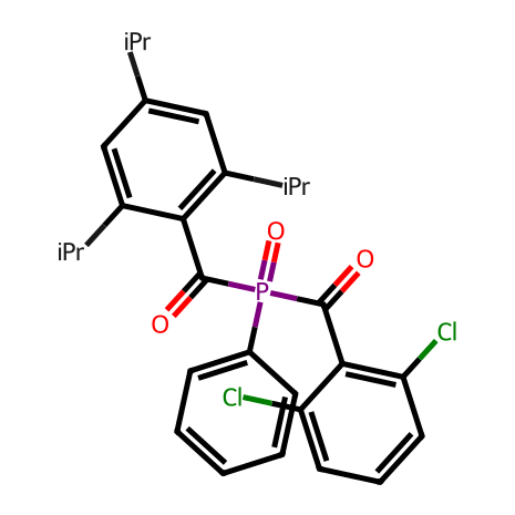 CC(C)c1cc(C(C)C)c(C(=O)P(=O)(C(=O)c2c(Cl)cccc2Cl)c2ccccc2)c(C(C)C)c1